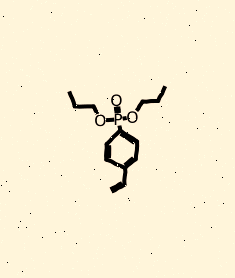 C=Cc1ccc(P(=O)(OCCC)OCCC)cc1